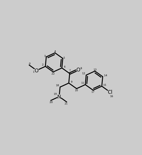 COc1cccc(C(=O)C(Cc2cccc(Cl)c2)CN(C)C)c1